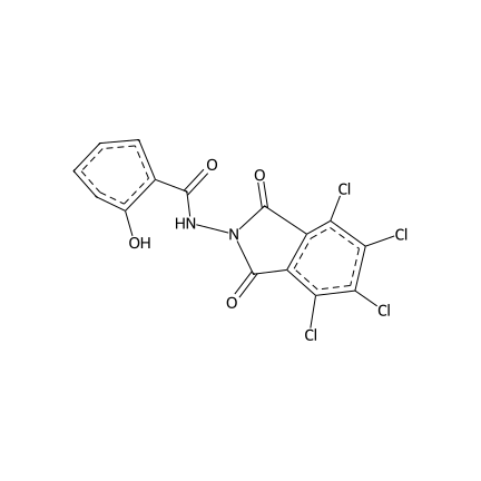 O=C(NN1C(=O)c2c(Cl)c(Cl)c(Cl)c(Cl)c2C1=O)c1ccccc1O